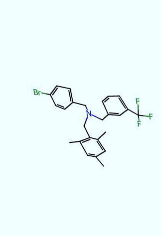 Cc1cc(C)c(CN(Cc2ccc(Br)cc2)Cc2cccc(C(F)(F)F)c2)c(C)c1